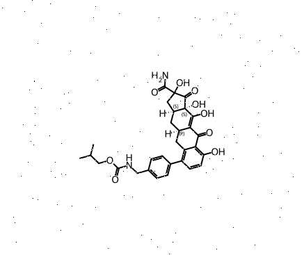 CC(C)COC(=O)NCc1ccc(-c2ccc(O)c3c2C[C@H]2C[C@H]4CC(O)(C(N)=O)C(=O)[C@@]4(O)C(O)=C2C3=O)cc1